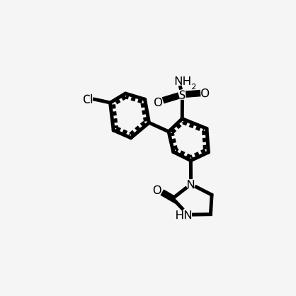 NS(=O)(=O)c1ccc(N2CCNC2=O)cc1-c1ccc(Cl)cc1